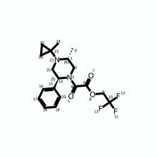 C[C@@H]1CN(C(=O)C(=O)OCC(F)(F)F)[C@@H](c2ccccc2)CN1C1(C)CC1